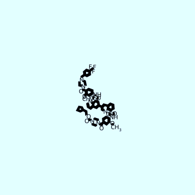 COc1cc(C(=O)N2CCN(C(=O)OCCC3CCCC3)CC2)ccc1NS(=O)(=O)c1cccc2cc(-c3cc(S(=O)(=O)Nc4ccc(C(=O)N5CCN(Cc6ccc(C(F)(F)F)cc6)CC5)c(OC)c4)c4ncccc4c3)cnc12